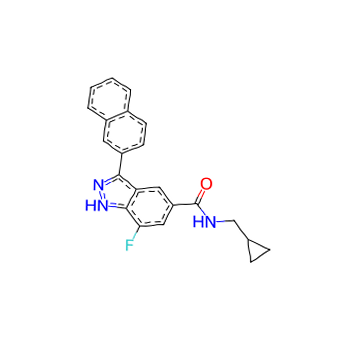 O=C(NCC1CC1)c1cc(F)c2[nH]nc(-c3ccc4ccccc4c3)c2c1